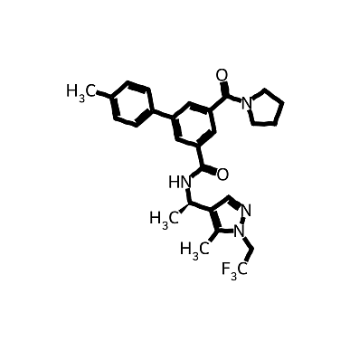 Cc1ccc(-c2cc(C(=O)N[C@H](C)c3cnn(CC(F)(F)F)c3C)cc(C(=O)N3CCCC3)c2)cc1